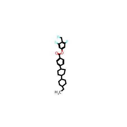 CCC1CCC(C2CCC(c3ccc(C(=O)Oc4cc(F)c(CF)c(F)c4)cc3)CC2)CC1